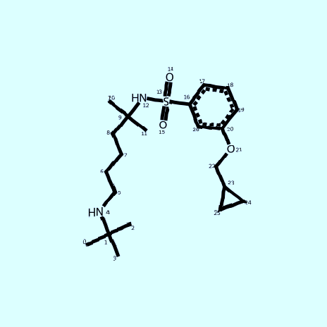 CC(C)(C)NCCCCC(C)(C)NS(=O)(=O)c1cccc(OCC2CC2)c1